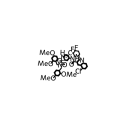 COc1ccc(CN(Cc2ccc(OC)cc2OC)S(=O)(=O)c2cc(NC(=O)c3cc4c(Cl)cccc4nc3N3CCC(F)(F)C(C)C3)ccn2)c(OC)c1